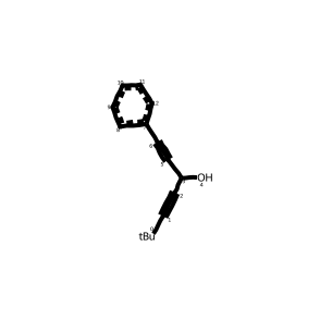 CC(C)(C)C#CC(O)C#Cc1ccccc1